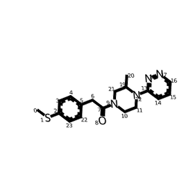 CSc1ccc(CC(=O)N2CCN(c3cccnn3)C(C)C2)cc1